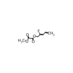 C=C/C=C(\F)COC(=O)C(=O)OC